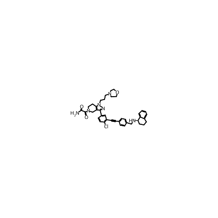 NC(=O)C(=O)N1CCc2c(c(-c3ccc(Cl)c(C#Cc4ccc(CN[C@@H]5CCCc6ccccc65)cc4)c3)nn2CCCN2CCOCC2)C1